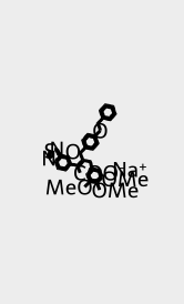 COc1cc(CC(C(=O)c2ccc(OCc3ccccc3)cc2)=C(C(=O)[O-])c2ccc3nsnc3c2)cc(OC)c1OC.[Na+]